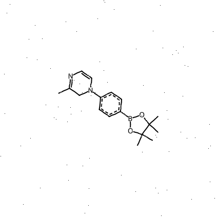 CC1=NC=CN(c2ccc(B3OC(C)(C)C(C)(C)O3)cc2)C1